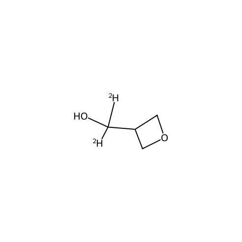 [2H]C([2H])(O)C1COC1